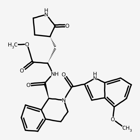 COC(=O)[C@H](C[C@@H]1CCNC1=O)NC(=O)[C@@H]1c2ccccc2CCN1C(=O)c1cc2c(OC)cccc2[nH]1